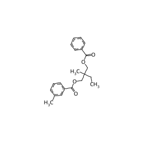 CCC(C)(COC(=O)c1ccccc1)COC(=O)c1cccc(C)c1